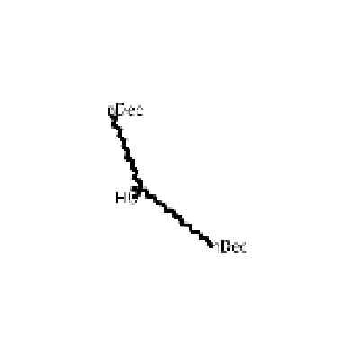 CCCCCCCCCCCCCCCCCCCCCCCCCCC(C)(CO)CCCCCCCCCCCCCCCCCCCCCCCC